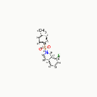 Cc1ccc(S(=O)(=O)N2C=Cc3cccc(F)c3C2)cc1